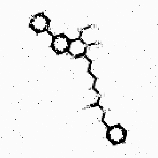 CNC1c2cc(-c3ccncc3)ccc2N=C(CCCCNC(=O)OCc2ccccc2)N1C